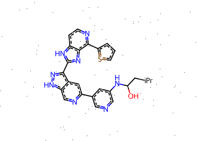 CC(C)CC(O)Nc1cncc(-c2cc3c(-c4nc5c(-c6cccs6)nccc5[nH]4)n[nH]c3cn2)c1